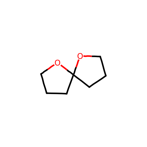 C1COC2(C1)CCCO2